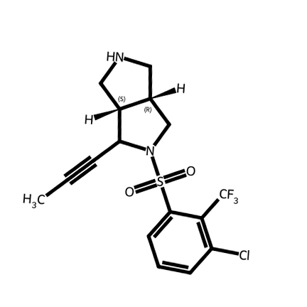 CC#CC1[C@@H]2CNC[C@@H]2CN1S(=O)(=O)c1cccc(Cl)c1C(F)(F)F